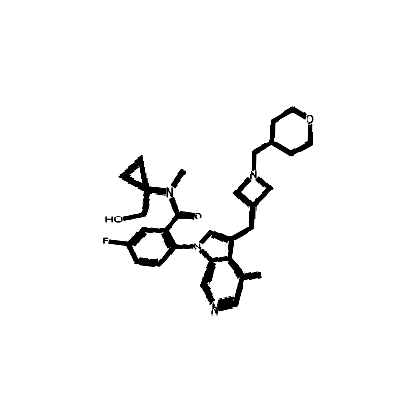 Cc1cncc2c1c(CC1CN(CC3CCOCC3)C1)cn2-c1ccc(F)cc1C(=O)N(C)C1(CO)CC1